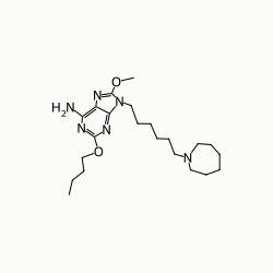 CCCCOc1nc(N)c2nc(OC)n(CCCCCCN3CCCCCC3)c2n1